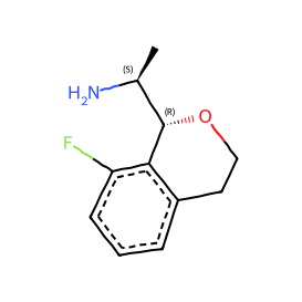 C[C@H](N)[C@@H]1OCCc2cccc(F)c21